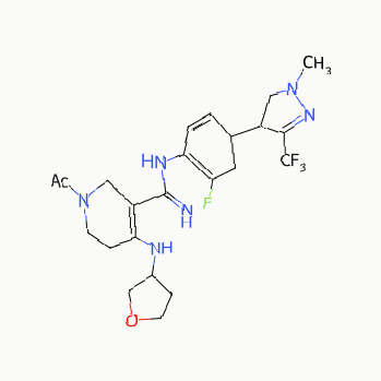 CC(=O)N1CCC(NC2CCOC2)=C(C(=N)NC2=C(F)CC(C3CN(C)N=C3C(F)(F)F)C=C2)C1